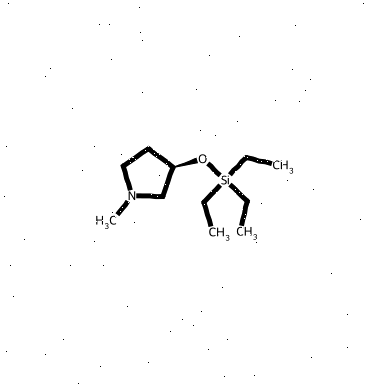 CC[Si](CC)(CC)O[C@@H]1CCN(C)C1